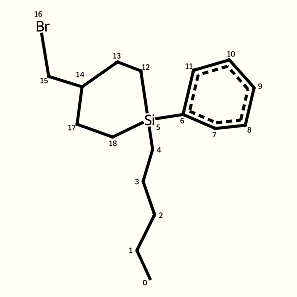 CCCCC[Si]1(c2ccccc2)CCC(CBr)CC1